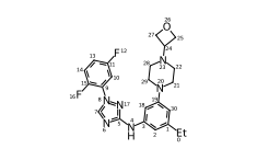 CCc1cc(Nc2ncn(-c3cc(F)ccc3F)n2)cc(N2CCN(C3COC3)CC2)c1